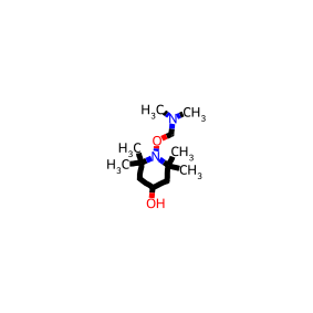 CN(C)CON1C(C)(C)CC(O)CC1(C)C